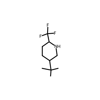 CC(C)(C)C1CCC(C(F)(F)F)NC1